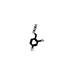 CC(C)c1cc(Cl)ccc1CN=[N+]=[N-]